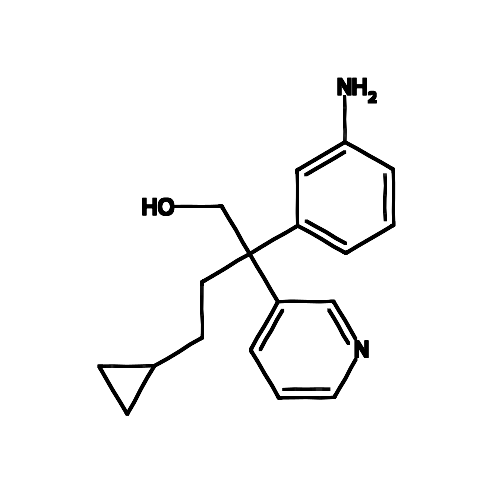 Nc1cccc(C(CO)(CCC2CC2)c2cccnc2)c1